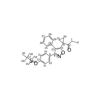 CCC(=O)C1(c2onc(-c3ccc(O[Si](C)(C)C(C)(C)C)cc3)c2-c2ccccc2)CC1